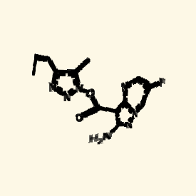 C/C=C\c1nnn(OC(=O)c2c(N)nn3cc(F)cnc23)c1C